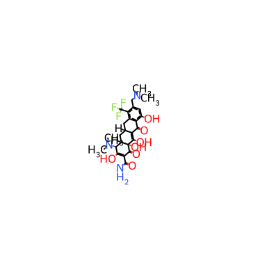 CN(C)Cc1cc(O)c2c(c1C(F)(F)F)C[C@H]1C[C@H]3[C@H](N(C)C)C(O)=C(C(N)=O)C(=O)[C@@]3(O)C(O)=C1C2=O